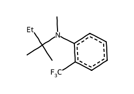 CCC(C)(C)N(C)c1ccccc1C(F)(F)F